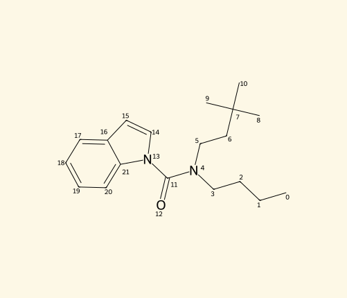 CCCCN(CCC(C)(C)C)C(=O)n1ccc2ccccc21